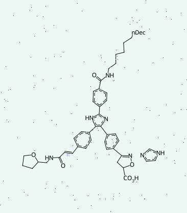 CCCCCCCCCCCCCCCCNC(=O)c1ccc(-c2nc(-c3ccc(C4=NOC(C(=O)O)C4)cc3)c(-c3ccc(/C=C/C(=O)NCC4CCCO4)cc3)[nH]2)cc1.c1c[nH]cn1